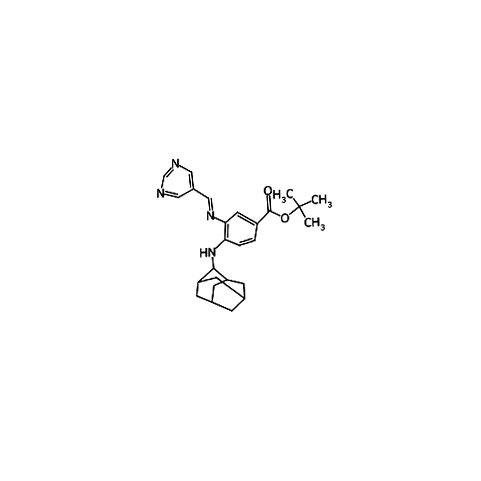 CC(C)(C)OC(=O)c1ccc(NC2C3CC4CC(C3)CC2C4)c(N=Cc2cncnc2)c1